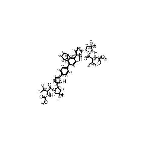 COC(=O)N[C@H](C(=O)N1CC(F)(F)C[C@H]1c1ncc(-c2ccc(-c3ccc(-c4cnc([C@@H]5CC(F)(F)CN5C(=O)[C@@H](NC(=O)OC)C(C)C)[nH]4)c4c3C3CCC4C3)cc2)[nH]1)C(C)C